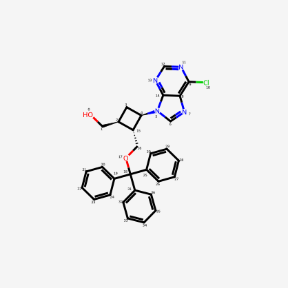 OC[C@H]1C[C@@H](n2cnc3c(Cl)ncnc32)[C@@H]1COC(c1ccccc1)(c1ccccc1)c1ccccc1